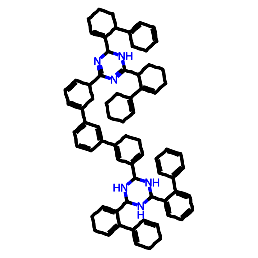 C1=CCCC(C2CCCC=C2C2N=C(C3C=CC=C(c4cccc(C5=CC(C6NC(C7=CCCC=C7C7=CCCC=C7)NC(c7ccccc7-c7ccccc7)N6)=CCC5)c4)C3)N=C(C3CCCC=C3C3=CCCCC3)N2)=C1